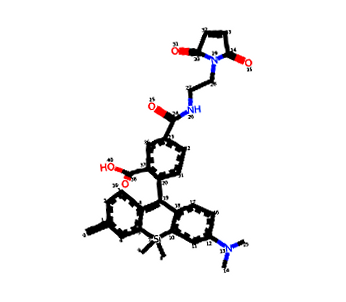 C=c1ccc2c(c1)[Si](C)(C)c1cc(N(C)C)ccc1C=2c1ccc(C(=O)NCCN2C(=O)C=CC2=O)cc1C(=O)O